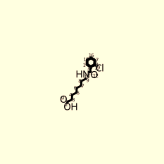 O=C(O)CCCCCCCNC(=O)c1ccccc1Cl